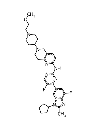 COCCN1CCC(N2CCc3nc(Nc4ncc(F)c(-c5cc(F)c6nc(C)n(C7CCCC7)c6c5)n4)ccc3C2)CC1